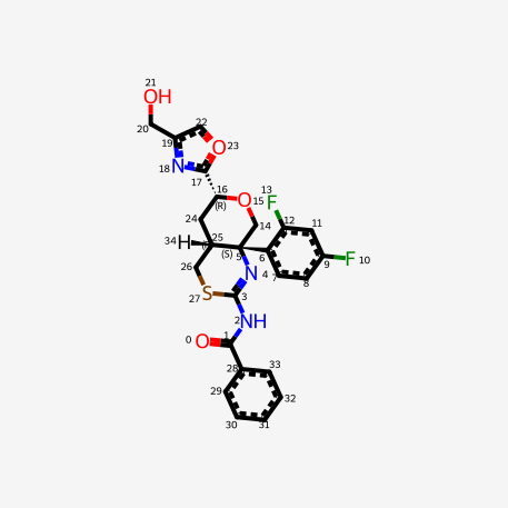 O=C(NC1=N[C@@]2(c3ccc(F)cc3F)CO[C@@H](c3nc(CO)co3)C[C@H]2CS1)c1ccccc1